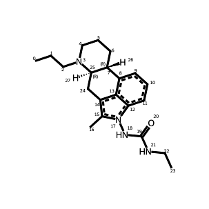 CCCN1CCC[C@@H]2c3cccc4c3c(c(C)n4NC(=O)NCC)C[C@H]21